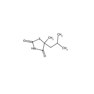 CC(C)CC1(C)SC(=O)NC1=O